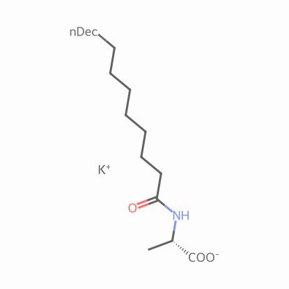 CCCCCCCCCCCCCCCCCC(=O)N[C@@H](C)C(=O)[O-].[K+]